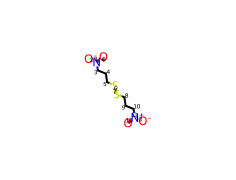 O=[N+]([O-])CCCSSCCC[N+](=O)[O-]